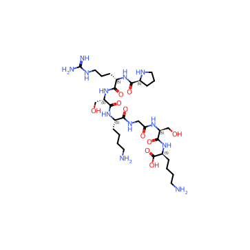 N=C(N)NCCC[C@H](NC(=O)[C@@H]1CCCN1)C(=O)N[C@@H](CO)C(=O)N[C@@H](CCCCN)C(=O)NCC(=O)N[C@@H](CO)C(=O)N[C@@H](CCCCN)C(=O)O